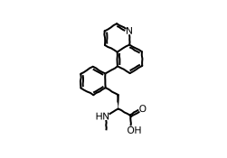 CN[C@@H](Cc1ccccc1-c1cccc2ncccc12)C(=O)O